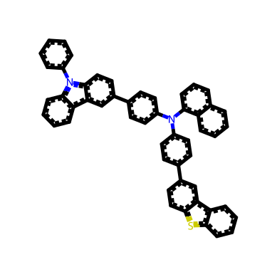 c1ccc(-n2c3ccccc3c3cc(-c4ccc(N(c5ccc(-c6ccc7sc8ccccc8c7c6)cc5)c5cccc6ccccc56)cc4)ccc32)cc1